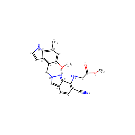 COC(=O)CNc1c(C#N)ccc2cn(Cc3c(OC)cc(C)c4[nH]ccc34)nc12